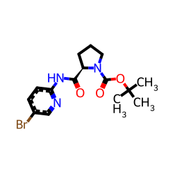 CC(C)(C)OC(=O)N1CCC[C@@H]1C(=O)Nc1ccc(Br)cn1